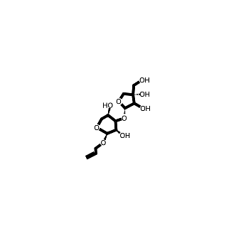 C=CCO[C@H]1OC[C@@H](O)C(O[C@@H]2OC[C@@](O)(CO)C2O)[C@H]1O